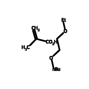 C=C(C)C(=O)O.CCCCOCCOCC